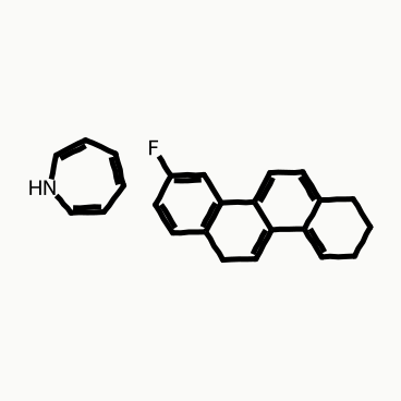 C1=CC=CNC=C1.Fc1ccc2c(c1)-c1ccc3c(c1=CC2)=CCCC3